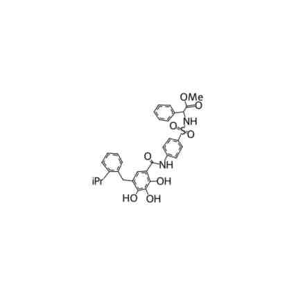 COC(=O)C(NS(=O)(=O)c1ccc(NC(=O)c2cc(Cc3ccccc3C(C)C)c(O)c(O)c2O)cc1)c1ccccc1